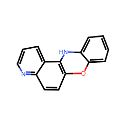 c1ccc2c(c1)Nc1c(ccc3ncccc13)O2